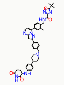 Cc1cc(-c2ccnc3cc(-c4ccc(CN5CCC(c6ccc(NC7CCC(=O)NC7=O)cc6)CC5)cc4)nn23)ccc1CNC(=O)c1noc(C(C)(C)C)n1